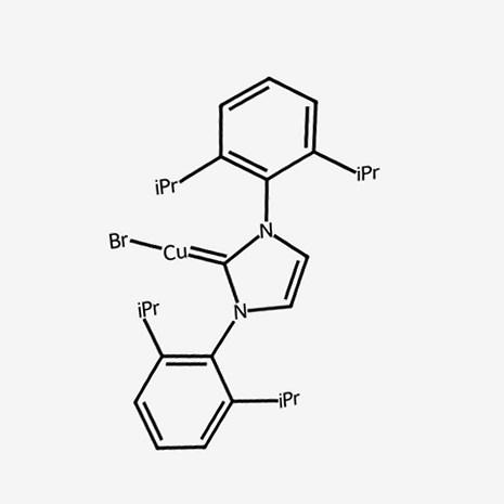 CC(C)c1cccc(C(C)C)c1-n1ccn(-c2c(C(C)C)cccc2C(C)C)[c]1=[Cu][Br]